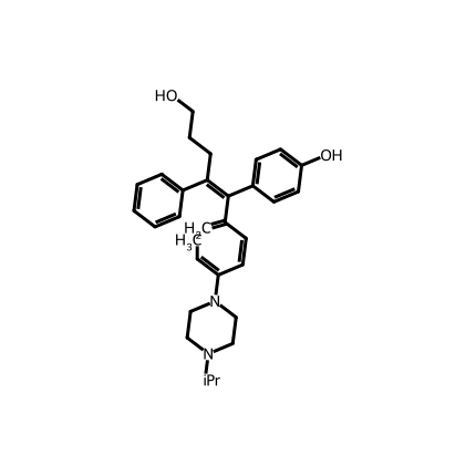 C=C(/C=C\C(=C/C)N1CCN(C(C)C)CC1)/C(=C(/CCCO)c1ccccc1)c1ccc(O)cc1